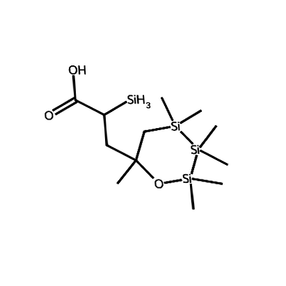 CC1(CC([SiH3])C(=O)O)C[Si](C)(C)[Si](C)(C)[Si](C)(C)O1